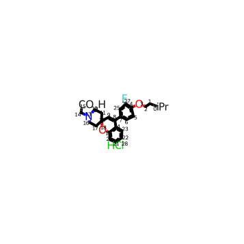 CC(C)CCOc1ccc(C2=CC3(CCN(CC(=O)O)CC3)Oc3ccccc32)cc1F.Cl